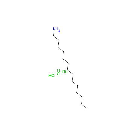 CCCCCCCCCCCCCCN.Cl.Cl.Cl